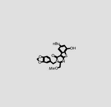 CCCCc1cc(O)c2sc3nc(COC)n(Cc4ccc5c(c4)OCO5)c(=O)c3c2c1